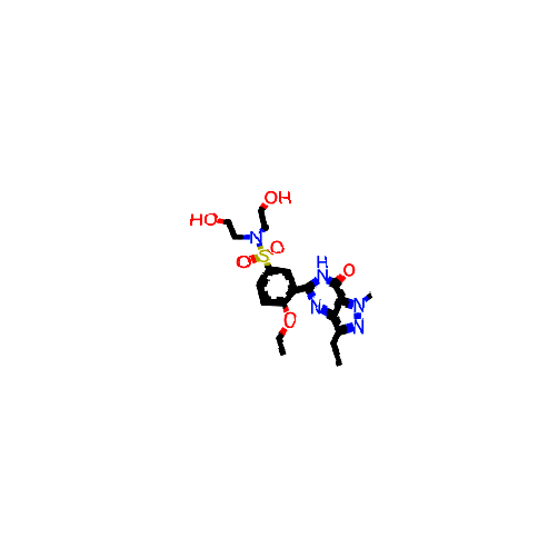 CCOc1ccc(S(=O)(=O)N(CCO)CCO)cc1-c1nc2c(CC)nn(C)c2c(=O)[nH]1